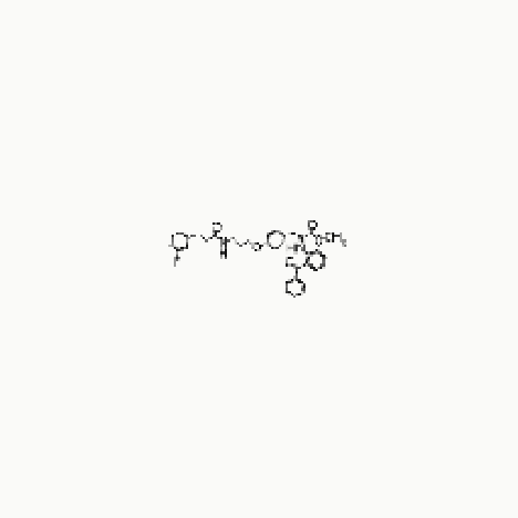 COC(=O)[C@H](Cc1ccc(OCCCNC(=O)CCc2cccc(F)c2)cc1)Nc1ccccc1C(=O)c1ccccc1